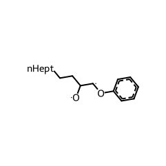 CCCCCCCCCC([O])[CH]Oc1ccccc1